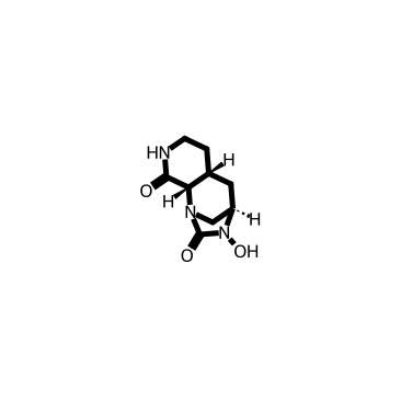 O=C1NCC[C@@H]2C[C@@H]3CN(C(=O)N3O)[C@H]12